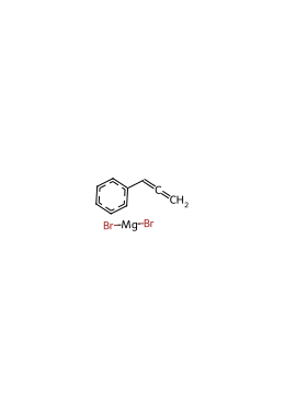 C=C=Cc1ccccc1.[Br][Mg][Br]